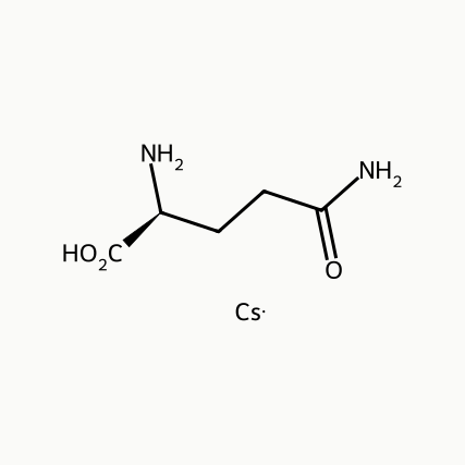 NC(=O)CC[C@H](N)C(=O)O.[Cs]